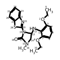 CCOc1cccc(OCC)c1NC1CN(C)C(=O)N1c1nc2ccccc2s1